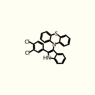 Clc1ccc(-c2[nH]c3ccccc3c2N2c3ccccc3Sc3ccccc32)cc1Cl